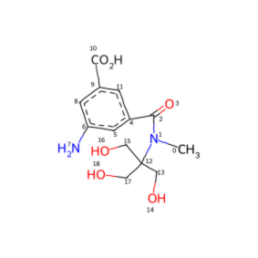 CN(C(=O)c1cc(N)cc(C(=O)O)c1)C(CO)(CO)CO